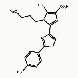 COCCCn1c(-c2csc(-c3ccc(C)nc3)n2)cc(C(=O)O)c1C